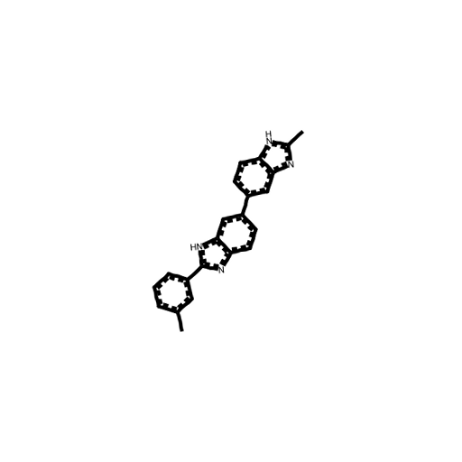 Cc1cccc(-c2nc3ccc(-c4ccc5[nH]c(C)nc5c4)cc3[nH]2)c1